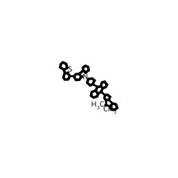 CC1(C)c2ccccc2-c2ccc(-c3c4ccccc4c(-c4ccc(-n5c6ccccc6c6cc(-c7cccc8c7sc7ccccc78)ccc65)cc4)c4ccccc34)cc21